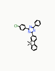 C[Si]1(C)c2ccccc2-c2ccc(-c3nc(-c4ccccc4)nc(-c4ccc(Cl)cc4)n3)cc21